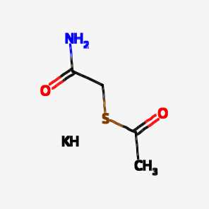 CC(=O)SCC(N)=O.[KH]